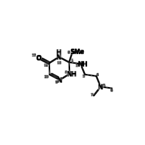 CSC1(NCCN(C)C)NN=CC(=O)N1